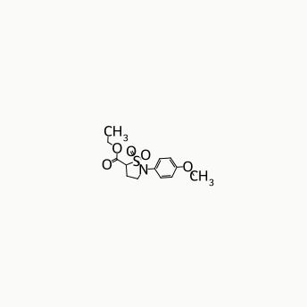 CCOC(=O)C1CCN(c2ccc(OC)cc2)S1(=O)=O